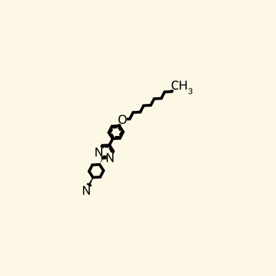 CCCCCCCCCCOc1ccc(-c2cnc([C@H]3CC[C@H](C#N)CC3)nc2)cc1